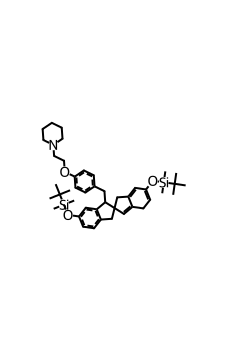 CC(C)(C)[Si](C)(C)OC1=CCC2=CC3(CC2=C1)Cc1ccc(O[Si](C)(C)C(C)(C)C)cc1C3Cc1ccc(OCCN2CCCCC2)cc1